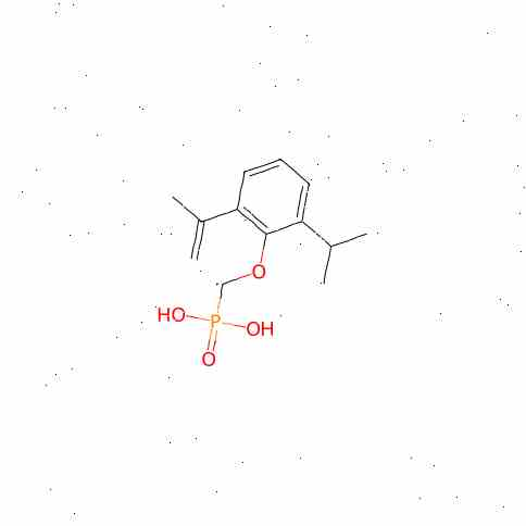 C=C(C)c1cccc(C(C)C)c1O[CH]P(=O)(O)O